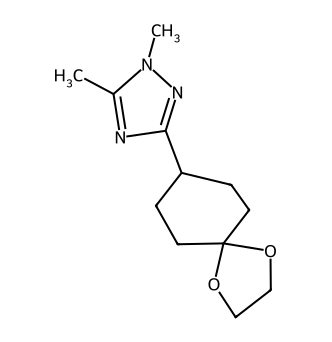 Cc1nc(C2CCC3(CC2)OCCO3)nn1C